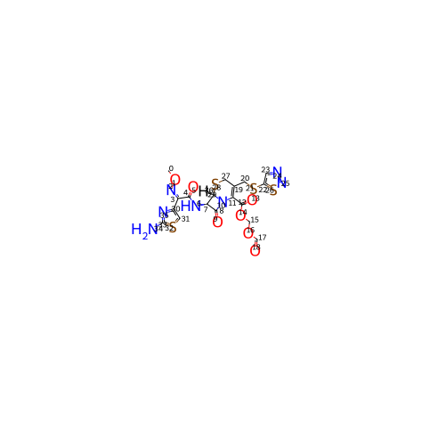 CO/N=C(\C(=O)N[C@@H]1C(=O)N2C(C(=O)OCOC=O)=C(CSc3cnns3)CS[C@@H]12)c1csc(N)n1